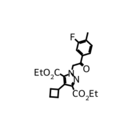 CCOC(=O)c1nn(CC(=O)c2ccc(C)c(F)c2)c(C(=O)OCC)c1C1CCC1